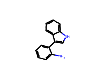 Nc1ccccc1-c1c[nH]c2ccccc12